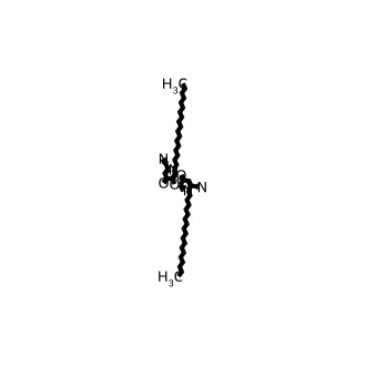 CCCCCCCCCCCCCCCCCCn1cc(Oc2cn(CCCCCCCCCCCCCCCCCC)c(C#N)cc2=O)c(=O)cc1C#N